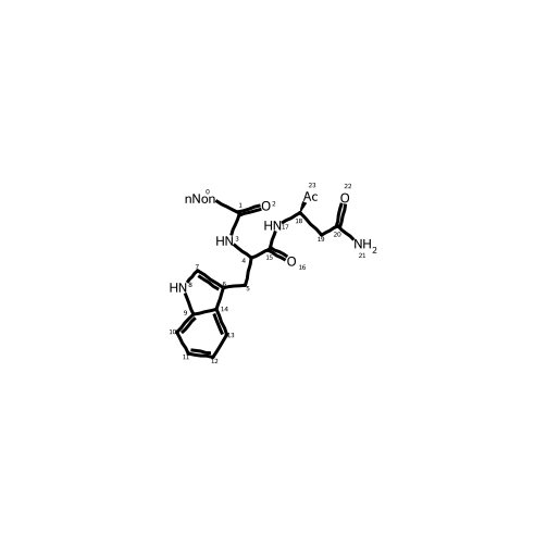 CCCCCCCCCC(=O)NC(Cc1c[nH]c2ccccc12)C(=O)N[C@H](CC(N)=O)C(C)=O